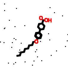 CCCCCCCCCOc1ccc(C2CCC(C(=O)O)CC2)cc1